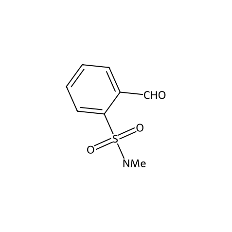 CNS(=O)(=O)c1ccccc1C=O